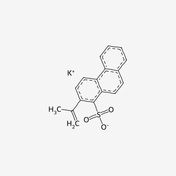 C=C(C)c1ccc2c(ccc3ccccc32)c1S(=O)(=O)[O-].[K+]